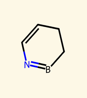 B1=NC=CCC1